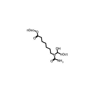 CCCCCCCCCCOC(=O)CCCCCCN(C(N)=O)C(O)CCCCCCCC